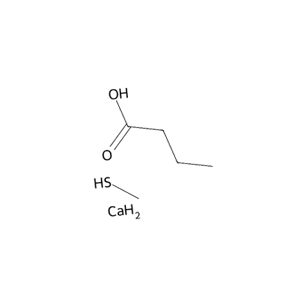 CCCC(=O)O.CS.[CaH2]